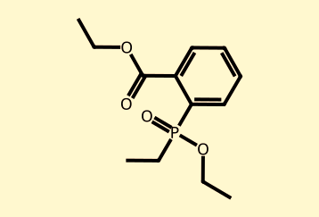 CCOC(=O)c1ccccc1P(=O)(CC)OCC